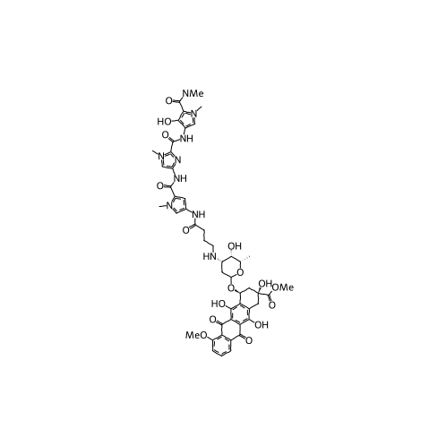 CNC(=O)c1c(O)c(NC(=O)c2nc(NC(=O)c3cc(NC(=O)CCCN[C@H]4CC(O[C@H]5C[C@](O)(C(=O)OC)Cc6c(O)c7c(c(O)c65)C(=O)c5c(OC)cccc5C7=O)O[C@@H](C)[C@H]4O)cn3C)cn2C)cn1C